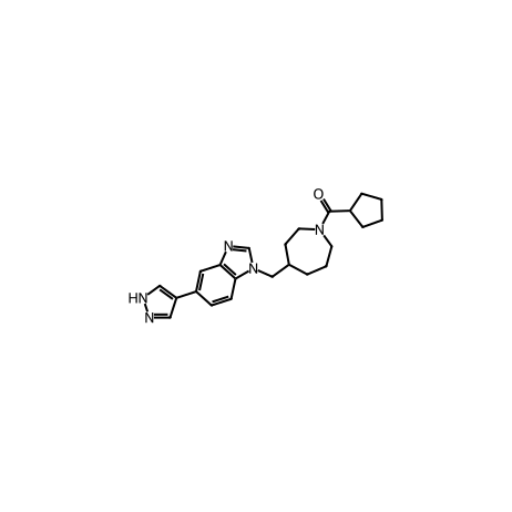 O=C(C1CCCC1)N1CCCC(Cn2cnc3cc(-c4cn[nH]c4)ccc32)CC1